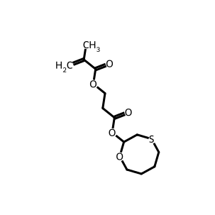 C=C(C)C(=O)OCCC(=O)OC1CSCCCCO1